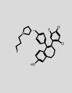 Oc1ccc2c(c1)CCCC(c1cc(F)c(Cl)cc1Cl)=C2c1ccc(C[C@H]2CCN(CCCF)C2)cc1